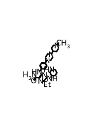 CCc1nc(C(N)=O)c(Nc2ccc(N3CCN(C4CCN(C)CC4)CC3)cc2)nc1N[C@@H]1CCCNC1